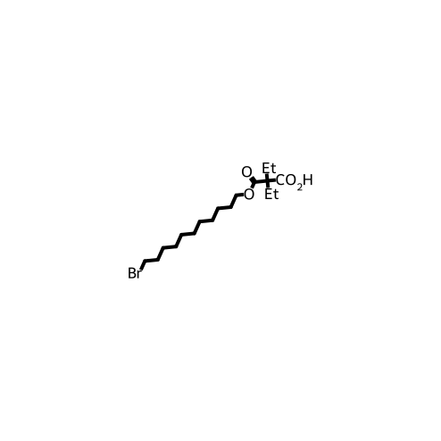 CCC(CC)(C(=O)O)C(=O)OCCCCCCCCCCCBr